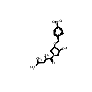 CC(C)C[C@@H](N)C(=O)N1CC(O)C(OCc2ccc([N+](=O)[O-])cc2)C1